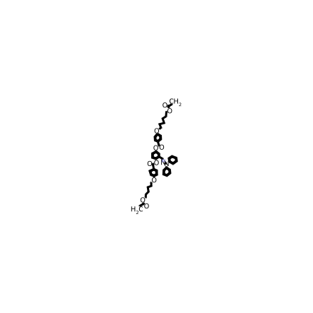 C=CC(=O)OCCCCCCOc1ccc(C(=O)Oc2ccc(OC(=O)c3ccc(OCCCCCCOC(=O)C=C)cc3)c(/C=N/N(c3ccccc3)c3ccccc3)c2)cc1